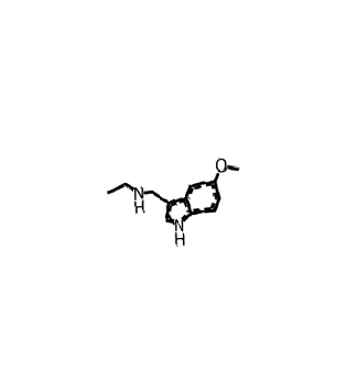 CCNCc1c[nH]c2ccc(OC)cc12